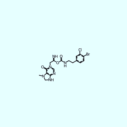 CN1CNc2ncn(CC(=N)OC(=O)NCCc3ccc(Br)c(Cl)c3)c(=O)c21